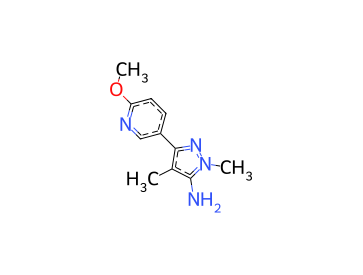 COc1ccc(-c2nn(C)c(N)c2C)cn1